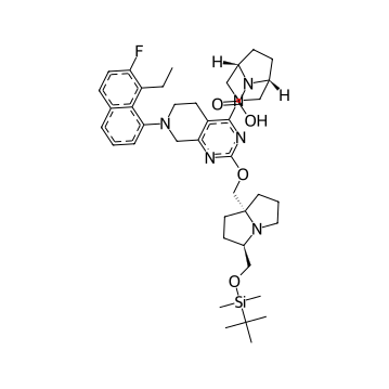 CCc1c(F)ccc2cccc(N3CCc4c(nc(OC[C@]56CCCN5[C@@H](CO[Si](C)(C)C(C)(C)C)CC6)nc4N4C[C@H]5CC[C@@H](C4)N5C(=O)O)C3)c12